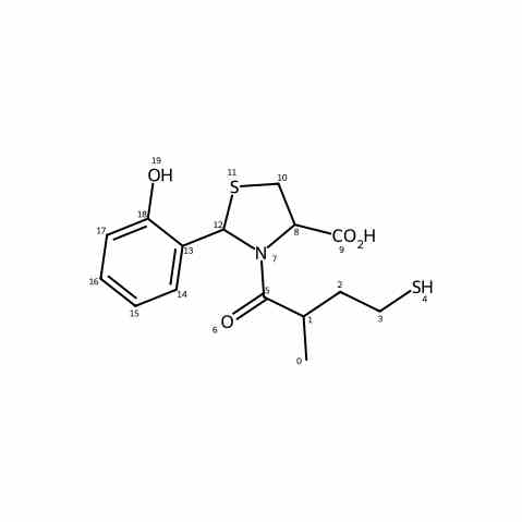 CC(CCS)C(=O)N1C(C(=O)O)CSC1c1ccccc1O